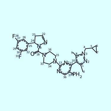 Cc1nn(CC2CC2)c(C)c1-c1nc(N2CCN(C(=O)N3N=CCC3c3cc(F)cc(F)c3)CC2)ncc1P